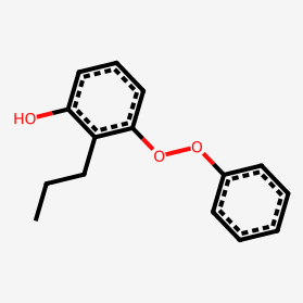 CCCc1c(O)cccc1OOc1ccccc1